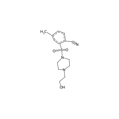 Cc1ccc(C#N)c(S(=O)(=O)N2CCN(CCO)CC2)c1